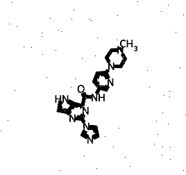 CN1CCN(c2ccc(NC(=O)c3nc(-n4ccnc4)nc4cc[nH]c34)cn2)CC1